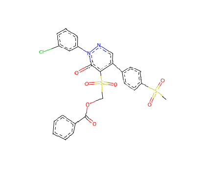 CS(=O)(=O)c1ccc(-c2cnn(-c3cccc(Cl)c3)c(=O)c2S(=O)(=O)COC(=O)c2ccccc2)cc1